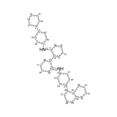 c1ccc(-c2ccc(Nc3ccccc3-c3ccccc3Nc3ccc(-c4cccc5ccccc45)cc3)cc2)cc1